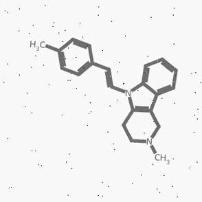 Cc1ccc(C=Cn2c3c(c4ccccc42)CN(C)CC3)cc1